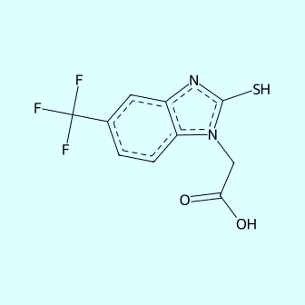 O=C(O)Cn1c(S)nc2cc(C(F)(F)F)ccc21